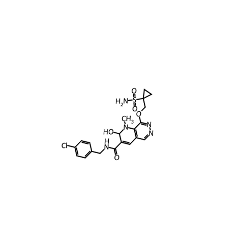 CN1c2c(cnnc2OCC2(S(N)(=O)=O)CC2)C=C(C(=O)NCc2ccc(Cl)cc2)C1O